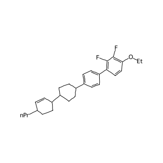 CCCC1C=CC(C2CCC(c3ccc(-c4ccc(OCC)c(F)c4F)cc3)CC2)CC1